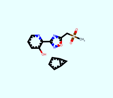 CS(=O)(=O)Cc1nc(-c2ncccc2O)no1.c1cc2cc-2c1